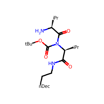 CCCCCCCCCCCCNC(=O)[C@H](C(C)C)N(C(=O)OC(C)(C)C)C(=O)[C@@H](N)C(C)C